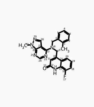 Cc1ccccc1CN(Cc1cc(=O)[nH]c2c(F)cccc12)c1ncnc2c1cnn2C